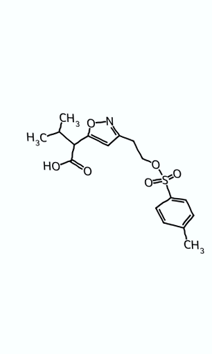 Cc1ccc(S(=O)(=O)OCCc2cc(C(C(=O)O)C(C)C)on2)cc1